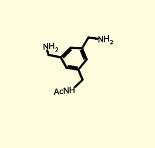 CC(=O)NCc1cc(CN)cc(CN)c1